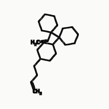 C=CCCC1CCC(C2(C3(C=C)CCCCC3)CCCCC2)CC1